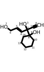 C#CC(O)(C=CCO)C1(O)CCCCC1